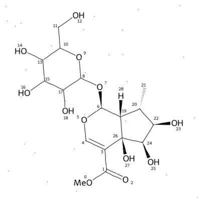 COC(=O)C1=CO[C@@H](OC2OC(CO)C(O)C(O)C2O)[C@@H]2[C@H](C)[C@@H](O)[C@@H](O)[C@]12O